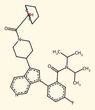 CC(C)N(C(=O)c1cc(F)ccc1-n1cc(C2CCN(C(=O)C3NC4CCC3CC4)CC2)c2ccncc21)C(C)C